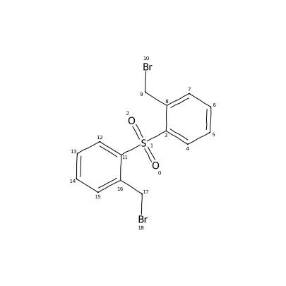 O=S(=O)(c1ccccc1CBr)c1ccccc1CBr